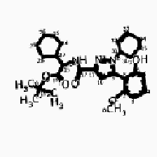 COc1cccc(O)c1-c1cc(C(=O)NC(C(=O)OC(C)(C)C)C2CCCCC2)nn1C1C=CCCC1